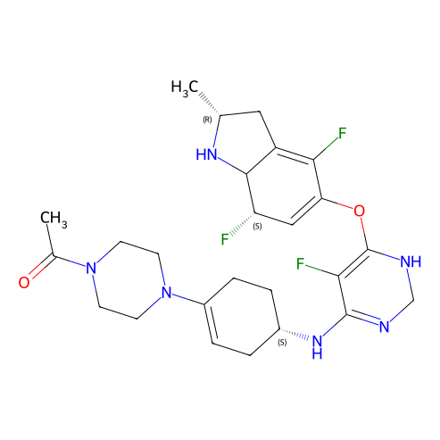 CC(=O)N1CCN(C2=CC[C@@H](NC3=NCNC(OC4=C[C@H](F)C5N[C@H](C)CC5=C4F)=C3F)CC2)CC1